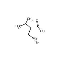 CC(C)C[CH2][Mg][Br].O=CO